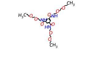 CCCOCCOCCNC(=O)c1cc(C(=O)NCCOCCOCCC)cc(C(=O)NCCOCCOCCC)c1